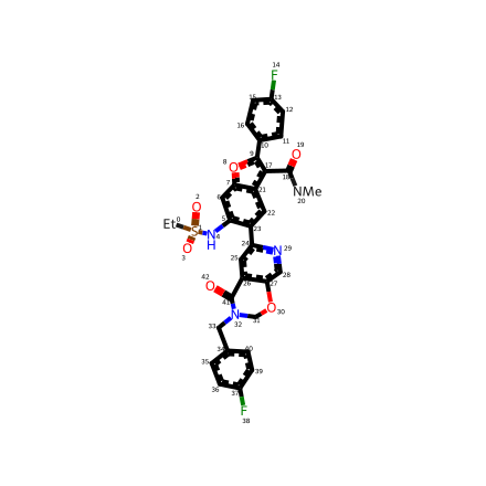 CCS(=O)(=O)Nc1cc2oc(-c3ccc(F)cc3)c(C(=O)NC)c2cc1-c1cc2c(cn1)OCN(Cc1ccc(F)cc1)C2=O